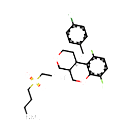 CNCCCS(=O)(=O)CC[C@@H]1OCC[C@@]2(Cc3ccc(Cl)cc3)c3c(F)ccc(F)c3OC[C@@H]12